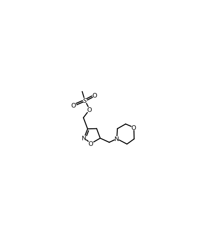 CS(=O)(=O)OCC1=NOC(CN2CCOCC2)C1